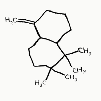 C=C1CCCC2C1CCC(C)(C)C2(C)C